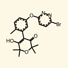 Cc1ccc(Oc2ccc(Br)nn2)cc1C1=C(O)C(C)(C)OC(C)(C)C1=O